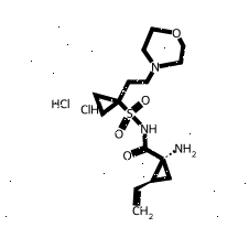 C=C[C@@H]1C[C@]1(N)C(=O)NS(=O)(=O)C1(CCN2CCOCC2)CC1.Cl.Cl